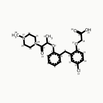 CC(Oc1ccccc1Cc1cc(Cl)ccc1OCC(=O)O)C(=O)N1CCN(C)CC1